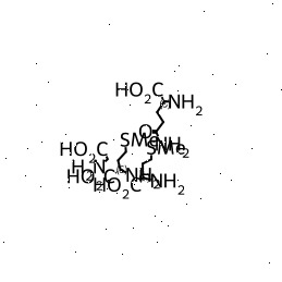 CSCC[C@H](N)C(=O)O.CSCC[C@H](N)C(=O)O.NC(=O)CC[C@H](N)C(=O)O.NCC(=O)O